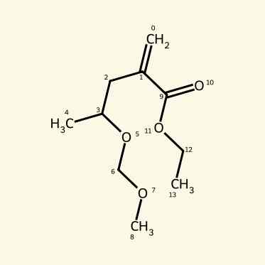 C=C(CC(C)OCOC)C(=O)OCC